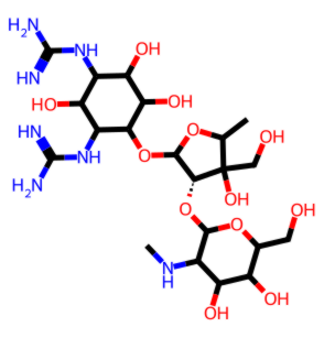 CNC1C(O[C@@H]2C(OC3C(O)C(O)C(NC(=N)N)C(O)C3NC(=N)N)OC(C)C2(O)CO)OC(CO)C(O)C1O